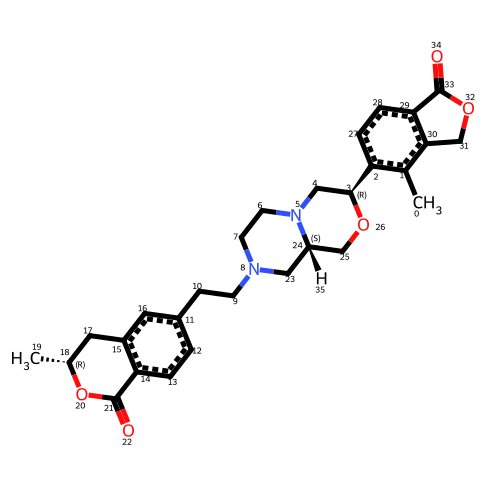 Cc1c([C@@H]2CN3CCN(CCc4ccc5c(c4)C[C@@H](C)OC5=O)C[C@H]3CO2)ccc2c1COC2=O